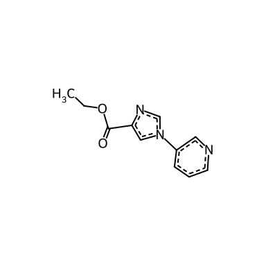 CCOC(=O)c1cn(-c2cccnc2)cn1